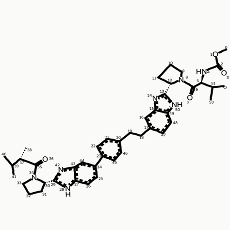 COC(=O)N[C@H](C(=O)N1CCC[C@H]1c1nc2cc(CCc3ccc(-c4ccc5[nH]c([C@@H]6CCCN6C(=O)[C@@H](C)C(C)C)nc5c4)cc3)ccc2[nH]1)C(C)C